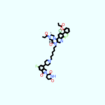 CCC(=O)Oc1cccc(F)c1-c1c(Cl)cc2c3c(cnc2c1F)N(CCCCCCCN1CCC(c2cc(F)cc4c2CN(C2CCC(=O)NC2=O)C4=O)CC1)C(=O)[C@H]1CN(C(=O)CC)[C@H](C)CN31